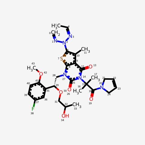 C=NN(/N=C\C)c1sc2c(c1C)c(=O)n(C(C)(C)C(=O)N1CC=CC1)c(=O)n2C[C@H](OCC(C)O)c1cc(F)ccc1OC